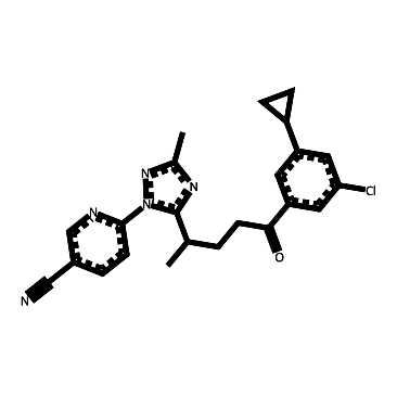 Cc1nc(C(C)CCC(=O)c2cc(Cl)cc(C3CC3)c2)n(-c2ccc(C#N)cn2)n1